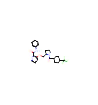 O=C(Nc1ccccc1)c1ncccc1OCC1CCCN1C(=O)C1CCC(C(F)(F)F)CC1